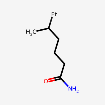 CCC(C)CCCC(N)=O